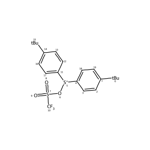 CC(C)(C)c1ccc([S+](OS(=O)(=O)C(F)(F)F)c2ccc(C(C)(C)C)cc2)cc1